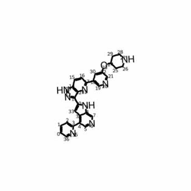 c1ccc(-c2cncc3[nH]c(-c4n[nH]c5ccc(-c6cncc(OC7CCNCC7)c6)nc45)cc23)nc1